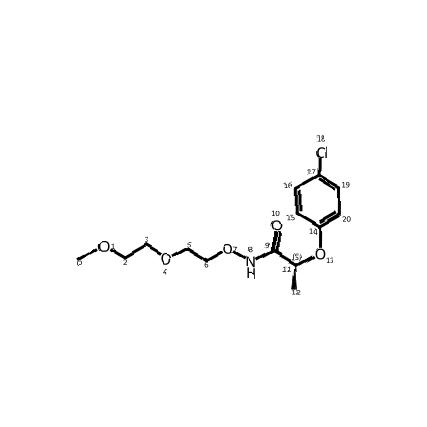 COCCOCCONC(=O)[C@H](C)Oc1ccc(Cl)cc1